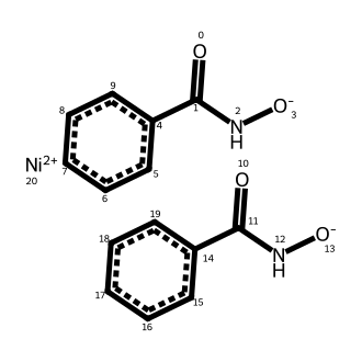 O=C(N[O-])c1ccccc1.O=C(N[O-])c1ccccc1.[Ni+2]